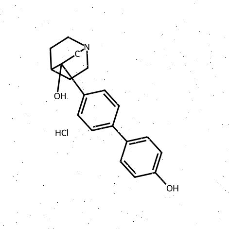 Cl.Oc1ccc(-c2ccc(C3(O)CN4CCC3CC4)cc2)cc1